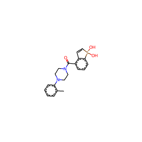 Cc1ccccc1N1CCN(C(=O)c2cccc3c2C=CS3(O)O)CC1